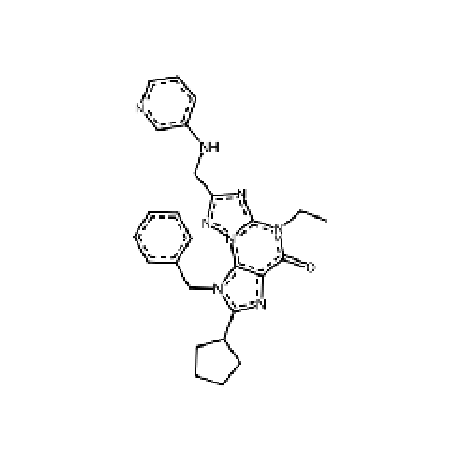 CCn1c(=O)c2nc(C3CCCC3)n(Cc3ccccc3)c2n2nc(CNc3cccnc3)nc12